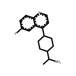 CC(N)C1CCC(c2ccnc3ccc(F)cc23)CC1